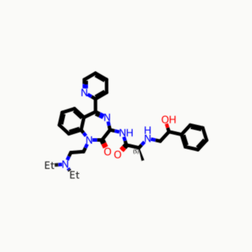 CCN(CC)CCN1C(=O)C(NC(=O)[C@H](C)NCC(O)c2ccccc2)N=C(c2ccccn2)c2ccccc21